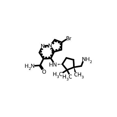 CC1(C)[C@H](Nc2c(C(N)=O)cnn3cc(Br)cc23)CC[C@]1(C)CN